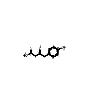 O=C(CC(O)=S)Cc1ccc(O)cc1